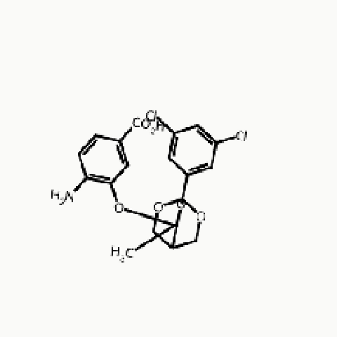 CC1C2COC(c3cc(Cl)cc(Cl)c3)(OC2)OC1Oc1cc(C(=O)O)ccc1N